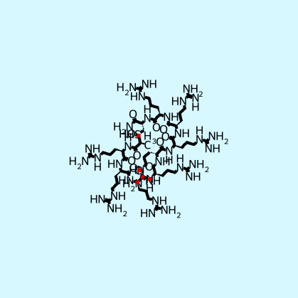 C[C@H](CO)C(=O)N[C@H](CCCNC(=N)N)C(=O)N[C@H](CCCNC(=N)N)C(=O)N[C@H](CCCNC(=N)N)C(=O)N[C@H](CCCNC(=N)N)C(=O)N[C@H](CCCNC(=N)N)C(=O)N[C@H](CCCNC(=N)N)C(=O)N[C@H](CCCNC(=N)N)C(=O)N[C@H](CCCNC(=N)N)C(=O)N[C@H](CS)C(N)=O